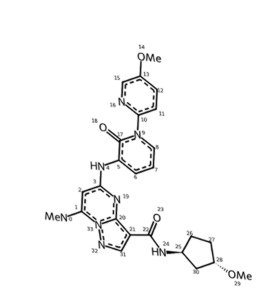 CNc1cc(Nc2cccn(-c3ccc(OC)cn3)c2=O)nc2c(C(=O)N[C@H]3CC[C@H](OC)C3)cnn12